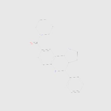 O=C(c1ccc2c(c1)C1NCCC1C(c1ccccc1)N2)N1CCOCC1